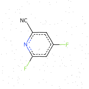 N#Cc1cc(F)cc(F)n1